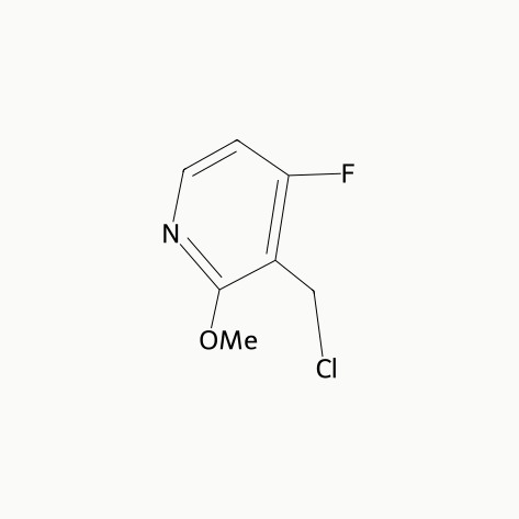 COc1nccc(F)c1CCl